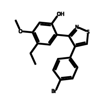 CCc1cc(-c2nscc2-c2ccc(Br)cc2)c(O)cc1OC